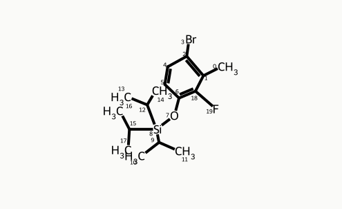 Cc1c(Br)ccc(O[Si](C(C)C)(C(C)C)C(C)C)c1F